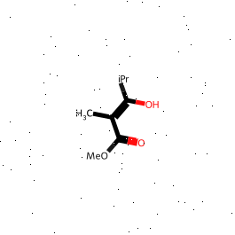 COC(=O)/C(C)=C(\O)C(C)C